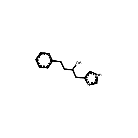 OC(CCc1ccccc1)Cc1c[nH]cn1